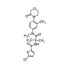 Cc1cc(N(C)C(=O)C(C)(C)NC(=O)c2ccc(Cl)s2)ccc1N1CCOCC1=O